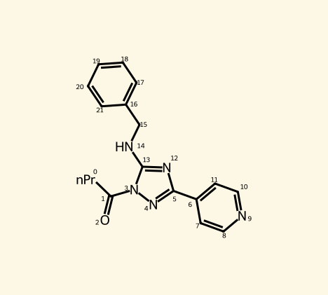 CCCC(=O)n1nc(-c2ccncc2)nc1NCc1ccccc1